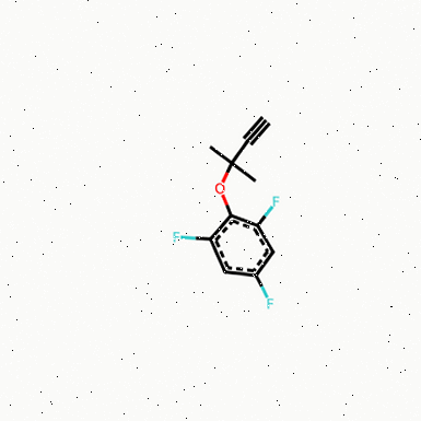 C#CC(C)(C)Oc1c(F)cc(F)cc1F